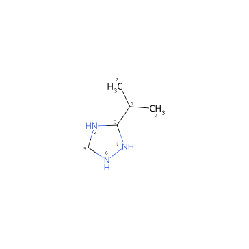 CC(C)C1NCNN1